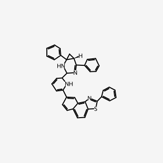 C1=CC(C2N=C(c3ccccc3)[C@H]3CC3(c3ccccc3)N2)NC(c2ccc3ccc4sc(-c5ccccc5)nc4c3c2)=C1